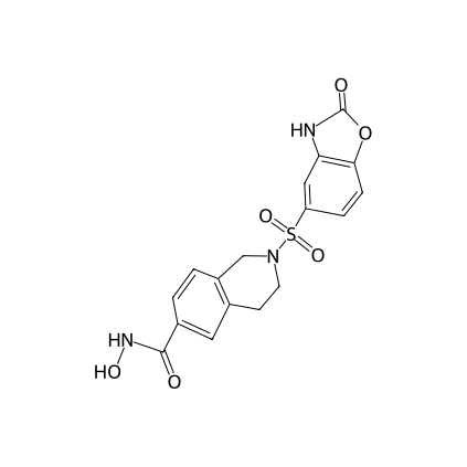 O=C(NO)c1ccc2c(c1)CCN(S(=O)(=O)c1ccc3oc(=O)[nH]c3c1)C2